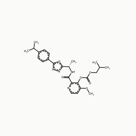 COc1ccnc(C(=O)N[C@@H](C)c2nnc(-c3ccc(C(C)C)cc3)o2)c1OC(=O)OCC(C)C